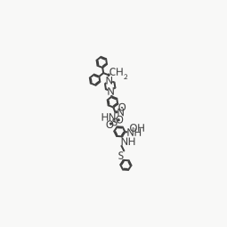 C=C(C(c1ccccc1)c1ccccc1)N1CCN(c2ccc3c(NS(=O)(=O)c4ccc(NCCSc5ccccc5)c(NO)c4)noc3c2)CC1